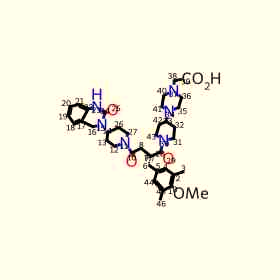 COc1c(C)cc(C[C@H](CC(=O)N2CCC(N3Cc4ccccc4NC3=O)CC2)C(=O)N2CCC(N3CCN(CC(=O)O)CC3)CC2)cc1C